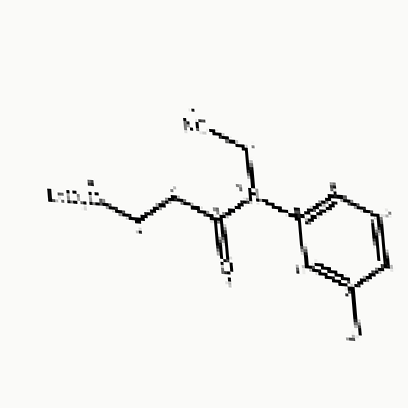 CCOC(=O)CCC(=O)N(CC#N)c1cccc(C)c1